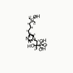 CC(O)(Cn1cc(CCC[Si](C)(C)O)nn1)P(=O)(O)O